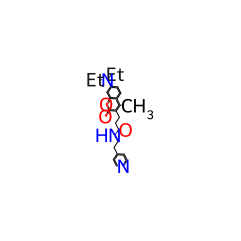 CCN(CC)c1ccc2c(C)c(CCC(=O)NCCc3ccncc3)c(=O)oc2c1